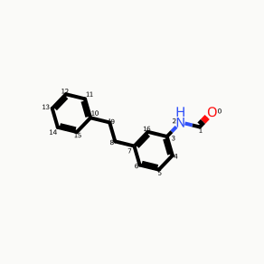 O=CNc1cccc(C[CH]c2ccccc2)c1